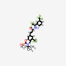 CC(C)(C)N(Cc1ccc(/C=C/C(=O)NC(c2cccc(C(F)(F)F)c2)C(F)(F)F)cc1C(F)(F)F)C(=O)O